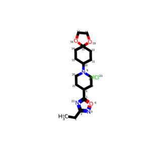 CCc1noc(C2CCN(C3CCC4(CC3)OCCO4)CC2)n1.Cl